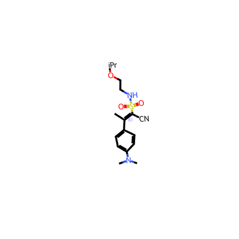 C/C(=C(/C#N)S(=O)(=O)NCCOC(C)C)c1ccc(N(C)C)cc1